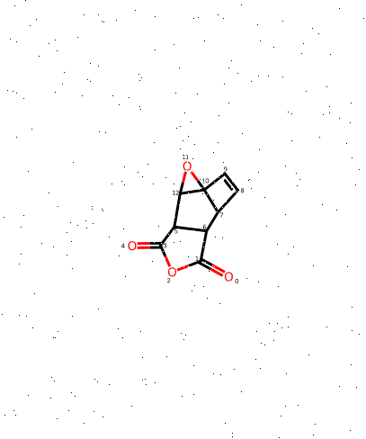 O=C1OC(=O)C2C1C1C=CC13OC23